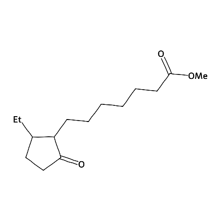 CCC1CCC(=O)C1CCCCCCC(=O)OC